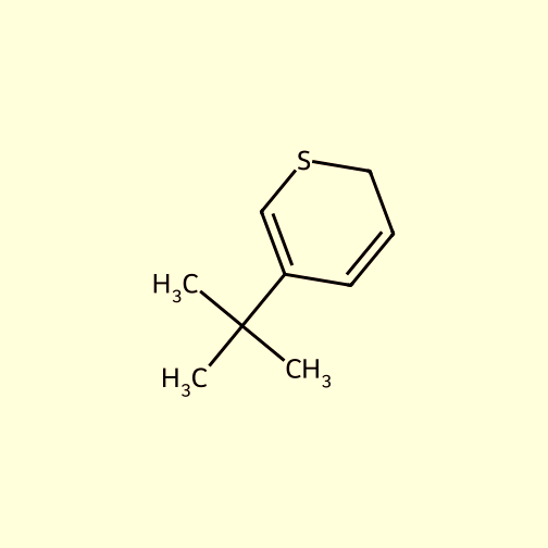 CC(C)(C)C1=CSCC=C1